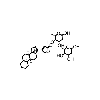 C[C@H]1OC(O)C[C@H](O)[C@@H]1O.C[C@H]1OC(O)C[C@H](O)[C@@H]1O.C[C@]12CC[C@H]3[C@@H](CCC4CCCC[C@@]43C)[C@@H]1CC[C@@H]2C1=CC(=O)OC1